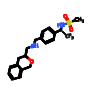 CS(=O)(=O)N[C@@H](c1ccc(CNCC2Cc3ccccc3CO2)cc1)C(F)(F)F